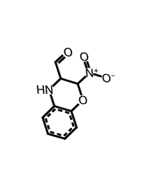 O=CC1Nc2ccccc2OC1[N+](=O)[O-]